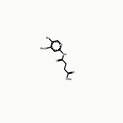 COC(=O)CCC(=O)Nc1cc(OC)c(Br)cn1